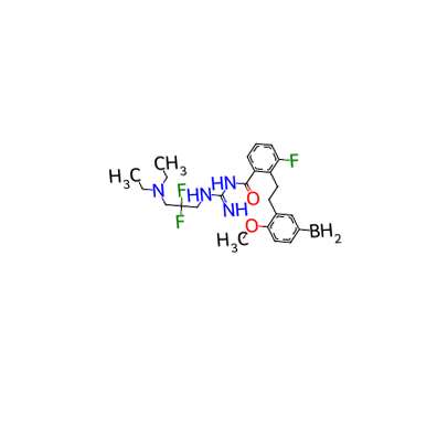 Bc1ccc(OC)c(CCc2c(F)cccc2C(=O)NC(=N)NCC(F)(F)CN(CC)CC)c1